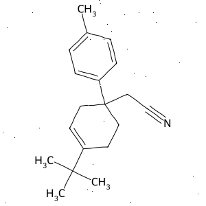 Cc1ccc(C2(CC#N)CC=C(C(C)(C)C)CC2)cc1